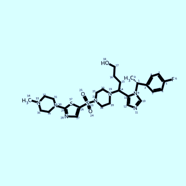 C[C@H](c1ccc(F)cc1)n1cncc1C(CCCO)N1CCN(S(=O)(=O)c2cnc(N3CCN(C)CC3)s2)CC1